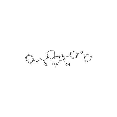 N#Cc1c(-c2ccc(Oc3ccccc3)cc2)nn([C@@H]2CCCN(C(=O)OCc3ccccc3)C2)c1N